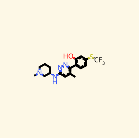 Cc1cc(N[C@@H]2CCCN(C)C2)nnc1-c1ccc(SC(F)(F)F)cc1O